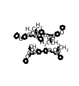 C=C(C)C(=O)OC(COc1ccc(Oc2ccccc2)cc1)COc1ccccc1-c1ccccc1OCC(COc1ccc(Oc2ccccc2)cc1)OC(=O)C(=C)C.C=CC(=O)OC(COc1ccccc1)COc1ccc(-c2ccc(OCC(COc3ccccc3)OC(=O)C=C)cc2)cc1